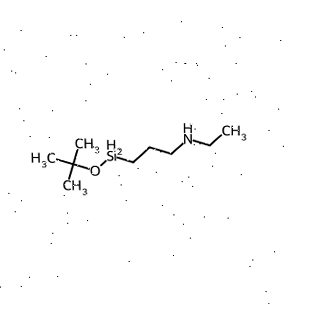 CCNCCC[SiH2]OC(C)(C)C